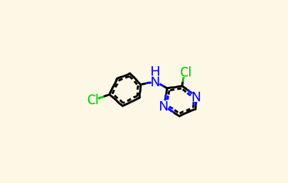 Clc1ccc(Nc2nccnc2Cl)cc1